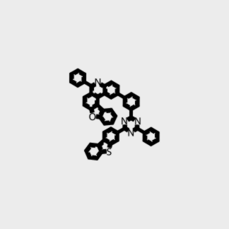 c1ccc(-c2nc(-c3cccc(-c4ccc5nc(-c6ccccc6)c6ccc7oc8ccccc8c7c6c5c4)c3)nc(-c3ccc4c(c3)sc3ccccc34)n2)cc1